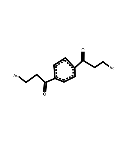 CC(=O)CCC(=O)c1ccc(C(=O)CCC(C)=O)cc1